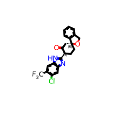 O=C1C[C@@]2(CC[C@H]1c1nc3cc(Cl)c(C(F)(F)F)cc3[nH]1)OCc1ccccc12